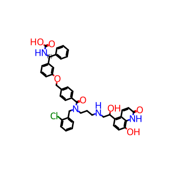 O=C(O)N[C@@H](c1ccccc1)c1cccc(OCc2ccc(C(=O)N(CCCNCC(O)c3ccc(O)c4[nH]c(=O)ccc34)Cc3ccccc3Cl)cc2)c1